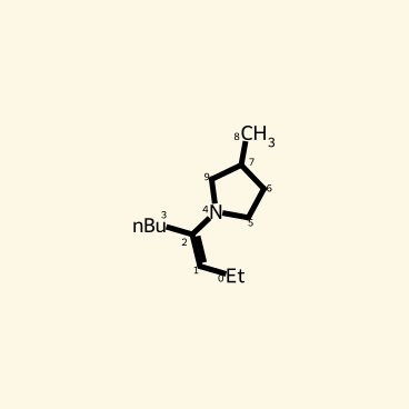 CC/C=C(/CCCC)N1CCC(C)C1